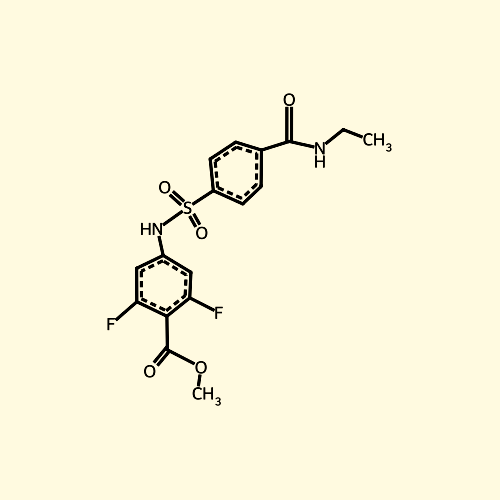 CCNC(=O)c1ccc(S(=O)(=O)Nc2cc(F)c(C(=O)OC)c(F)c2)cc1